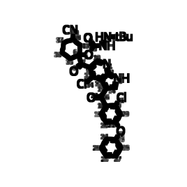 CC(C)(C)NNC(=O)OC1(C(=O)c2cnc3[nH]cc(C(=O)c4ccc(Oc5ccccc5)cc4Cl)c3c2Cl)CCCC(C#N)C1